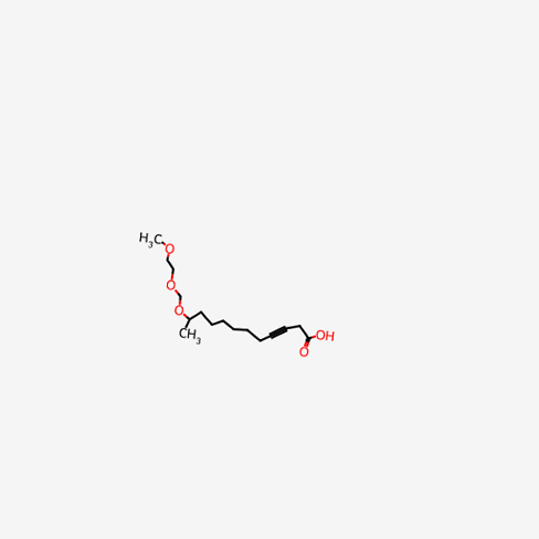 COCCOCOC(C)CCCCCCC#CCC(=O)O